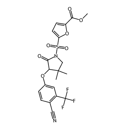 COC(=O)c1ccc(S(=O)(=O)N2CC(C)(C)C(Oc3ccc(C#N)c(C(F)(F)F)c3)C2=O)o1